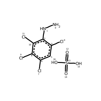 NNc1c(Cl)cc(Cl)c(Cl)c1Cl.O=S(=O)(O)O